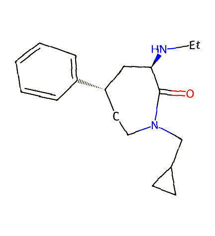 CCN[C@@H]1C[C@@H](c2ccccc2)CCN(CC2CC2)C1=O